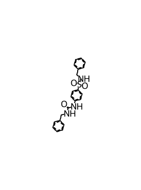 O=C(NCc1ccccc1)Nc1ccc(S(=O)(=O)NCc2ccccc2)cc1